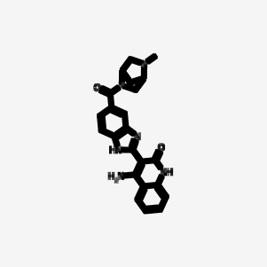 CN1CC2CC1CN2C(=O)c1ccc2[nH]c(-c3c(N)c4ccccc4[nH]c3=O)nc2c1